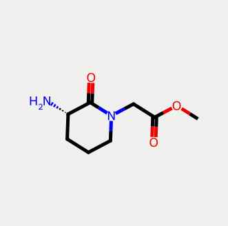 COC(=O)CN1CCC[C@H](N)C1=O